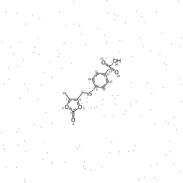 Cc1oc(=O)oc1CSc1ccc(S(=O)(=O)O)cc1